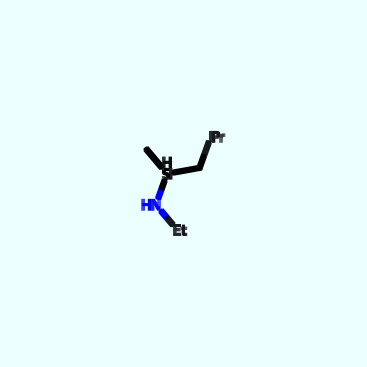 CCN[SiH](C)CC(C)C